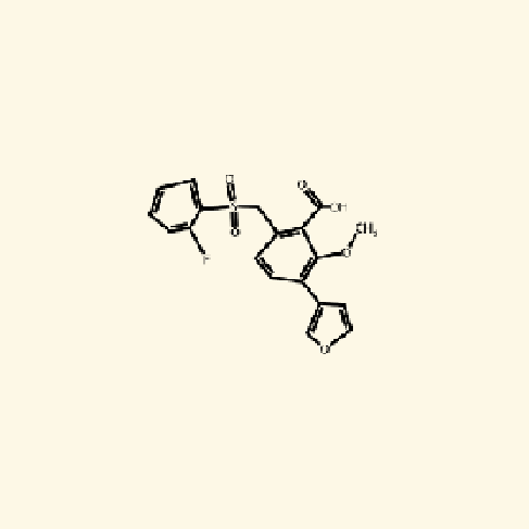 COc1c(-c2ccoc2)ccc(CS(=O)(=O)c2ccccc2F)c1C(=O)O